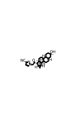 C[C@@]1(O)CC[C@H]2[C@H](CC[C@@H]3[C@@H]2CC[C@@]2(C)[C@H]3[C@@H]3C[C@@H]3[C@@H]2C(=O)Cn2ccc(C#N)n2)C1